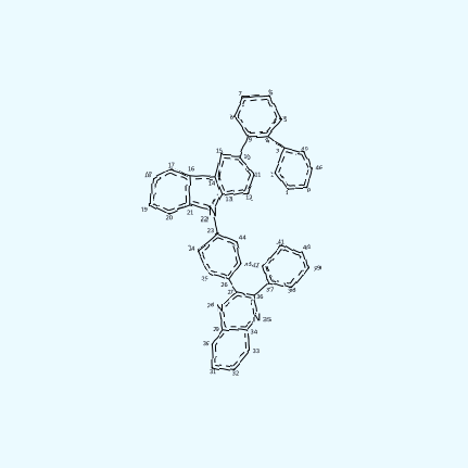 c1ccc(-c2ccccc2-c2ccc3c(c2)c2ccccc2n3-c2ccc(-c3nc4ccccc4nc3-c3ccccc3)cc2)cc1